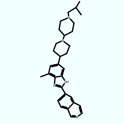 Cc1cc(C2CCN(C3CCN(CC(C)C)CC3)CC2)cc2[nH]c(-c3ccc4cnccc4c3)nc12